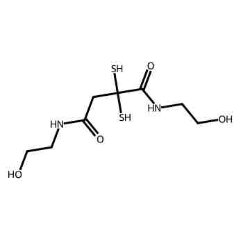 O=C(CC(S)(S)C(=O)NCCO)NCCO